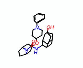 O=C(NC1C2CC3CC1CC(O)(C3)C2)N1C2CCC1CC(OC1CCN(c3ccccc3)CC1)C2